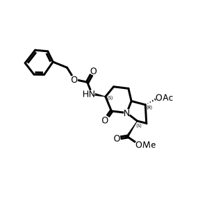 COC(=O)[C@@H]1C[C@@H](OC(C)=O)C2CC[C@H](NC(=O)OCc3ccccc3)C(=O)N21